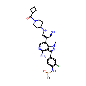 CC[S+]([O-])Nc1ccc(-c2nn(C)c3c(/C(C=N)=C/NC4CCN(C(=O)C5CCC5)CC4)cnc(N)c23)cc1F